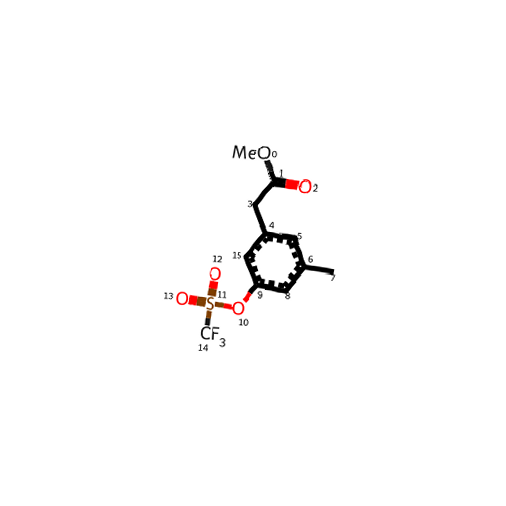 COC(=O)Cc1cc(C)cc(OS(=O)(=O)C(F)(F)F)c1